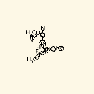 COCC(F)(F)COc1nn(C2CCC(N3CCOCC3)CC2)cc1Nc1ncc(-c2ccc(C#N)c(OC(C)Cn3cncn3)c2)cn1